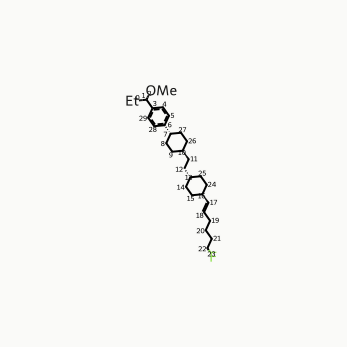 CCC(OC)c1ccc([C@H]2CC[C@H](CC[C@H]3CC[C@H](/C=C/CCCCF)CC3)CC2)cc1